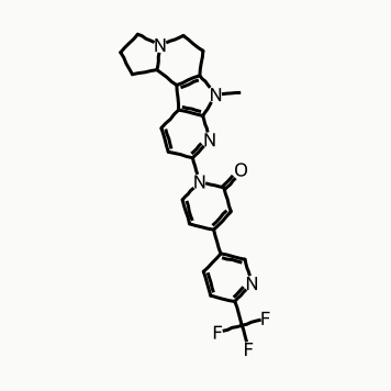 Cn1c2c(c3ccc(-n4ccc(-c5ccc(C(F)(F)F)nc5)cc4=O)nc31)C1CCCN1CC2